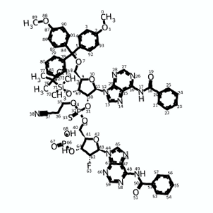 COc1ccc(C(OC[C@H]2O[C@@H](n3cnc4c(NC(=O)c5ccccc5)ncnc43)[C@H](OP(=S)(OCCC#N)OC[C@H]3O[C@@H](n4cnc5c(NC(=O)c6ccccc6)ncnc54)[C@H](F)[C@@H]3O[PH](=O)O)[C@@H]2O[Si](C)(C)C(C)(C)C)(c2ccccc2)c2ccc(OC)cc2)cc1